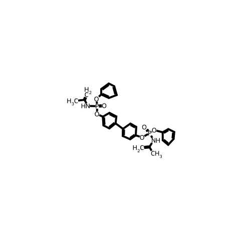 C=C(C)NP(=O)(Oc1ccccc1)Oc1ccc(-c2ccc(OP(=O)(NC(=C)C)Oc3ccccc3)cc2)cc1